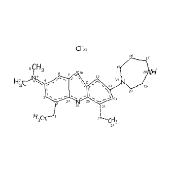 CCc1cc(=[N+](C)C)cc2sc3cc(N4CCCNCC4)cc(CC)c3nc1-2.[Cl-]